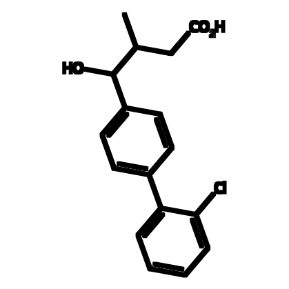 CC(CC(=O)O)C(O)c1ccc(-c2ccccc2Cl)cc1